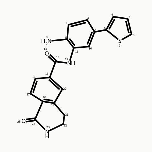 Nc1ccc(-c2cccs2)cc1NC(=O)c1ccc2c(c1)CCNC2=O